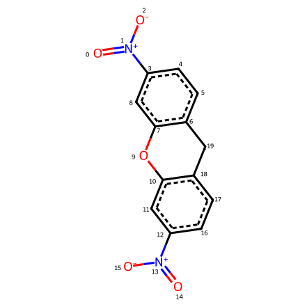 O=[N+]([O-])c1ccc2c(c1)Oc1cc([N+](=O)[O-])ccc1[CH]2